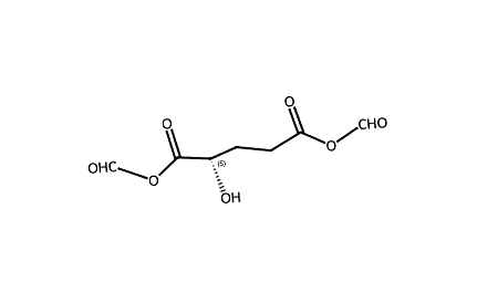 O=COC(=O)CC[C@H](O)C(=O)OC=O